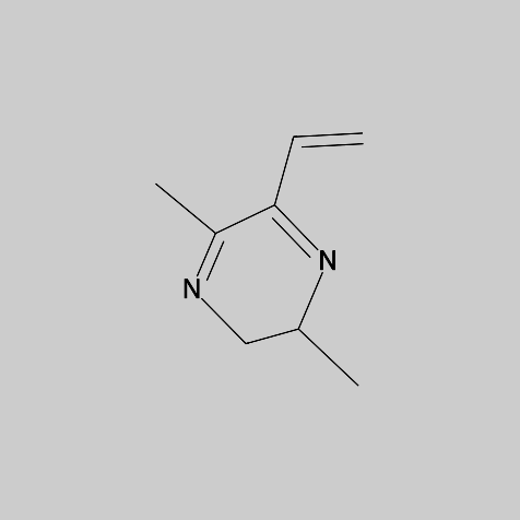 C=CC1=NC(C)CN=C1C